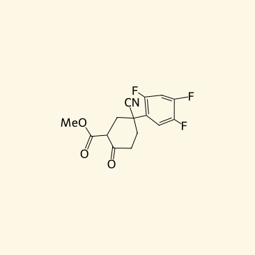 COC(=O)C1CC(C#N)(c2cc(F)c(F)cc2F)CCC1=O